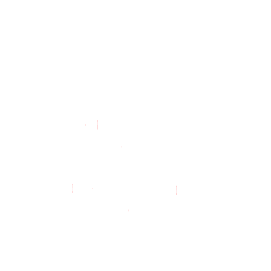 O=C(O)C1OC(OCCc2ccccc2)C(O)C(O)C1O